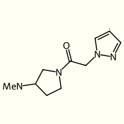 CNC1CCN(C(=O)Cn2c[c]cn2)C1